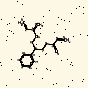 C=CC(=C)OCC(CCC(=O)C=C)c1ccccc1